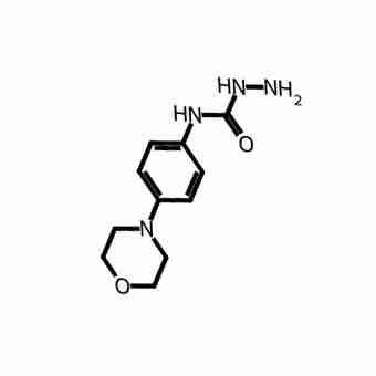 NNC(=O)Nc1ccc(N2CCOCC2)cc1